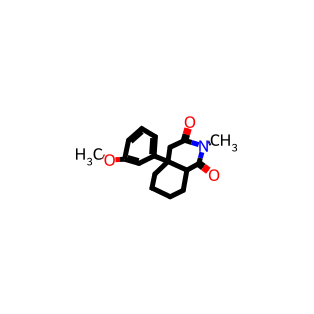 COc1cccc(C23CCCCC2C(=O)N(C)C(=O)C3)c1